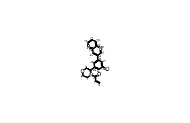 C=CC(=O)N1CCOCC1c1cc(Cl)cc(-c2cnc3cccnc3c2)c1